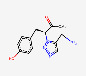 COC(=O)[C@H](Cc1ccc(O)cc1)n1nncc1CN